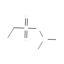 CCS(=O)(=O)O[S+](C)C